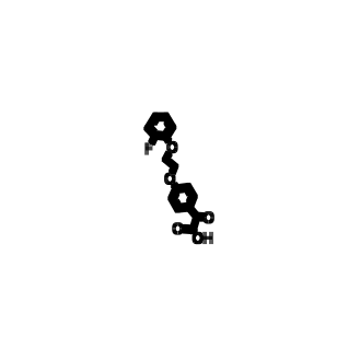 O=C(O)C(=O)c1ccc(OCCOc2ccccc2F)cc1